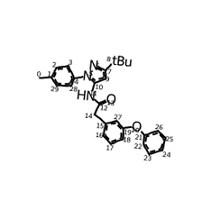 Cc1ccc(-n2nc(C(C)(C)C)cc2NC(=O)Cc2cccc(Oc3ccccc3)c2)cc1